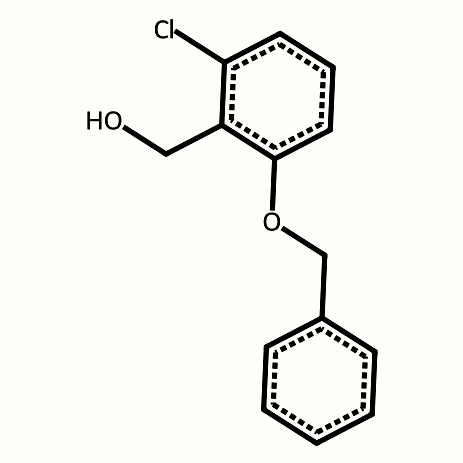 OCc1c(Cl)cccc1OCc1ccccc1